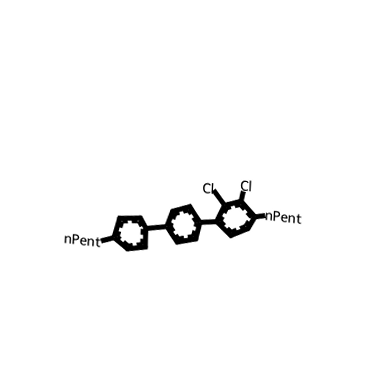 CCCCCc1ccc(-c2ccc(-c3ccc(CCCCC)c(Cl)c3Cl)cc2)cc1